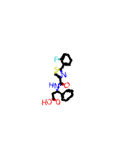 O=C(O)CC(NC(=O)c1csc(-c2ccccc2F)n1)c1ccccc1